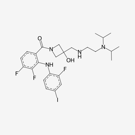 CC(C)N(CCNCC1(O)CN(C(=O)c2ccc(F)c(F)c2Nc2ccc(I)cc2F)C1)C(C)C